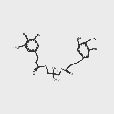 [CH2]C([CH2])(COC(=O)CCc1cc(C(C)(C)C)c(O)c(C(C)(C)C)c1)COC(=O)CCc1cc(C(C)(C)C)c(O)c(C(C)(C)C)c1